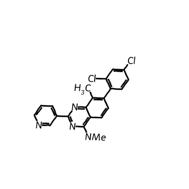 CNc1nc(-c2cccnc2)nc2c(C)c(-c3ccc(Cl)cc3Cl)ccc12